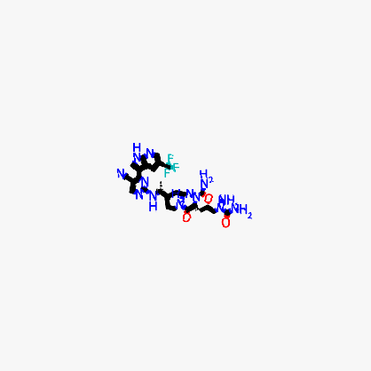 C[C@@H](Nc1ncc(C#N)c(-c2c[nH]c3ncc(C(F)(F)F)cc23)n1)C1CCN(C(=O)[C@@H](CCCN(N)C(N)=O)N(N)C(N)=O)CC1